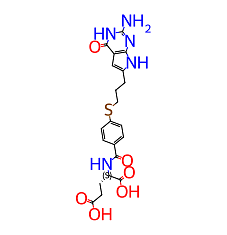 Nc1nc2[nH]c(CCCSc3ccc(C(=O)N[C@@H](CCC(=O)O)C(=O)O)cc3)cc2c(=O)[nH]1